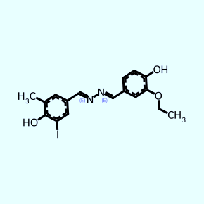 CCOc1cc(/C=N/N=C/c2cc(C)c(O)c(I)c2)ccc1O